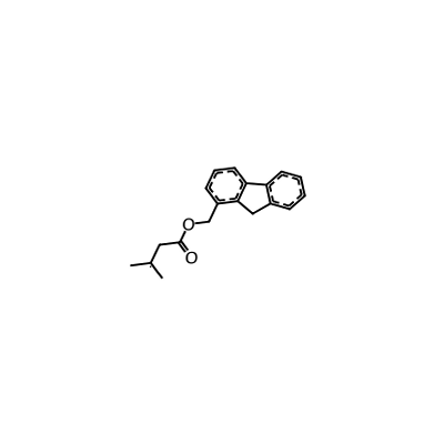 C[C](C)CC(=O)OCc1cccc2c1Cc1ccccc1-2